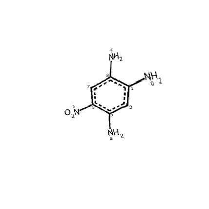 Nc1cc(N)c([N+](=O)[O-])cc1N